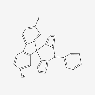 N#Cc1ccc2c(c1)C1(c3cc(I)ccc3-2)c2ccccc2N(c2ccccc2)c2ccccc21